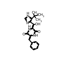 CC(C)(C)c1[nH]cnc1/C(O)=c1\[nH]c(=O)/c(=C/c2ccccc2)[nH]c1=O